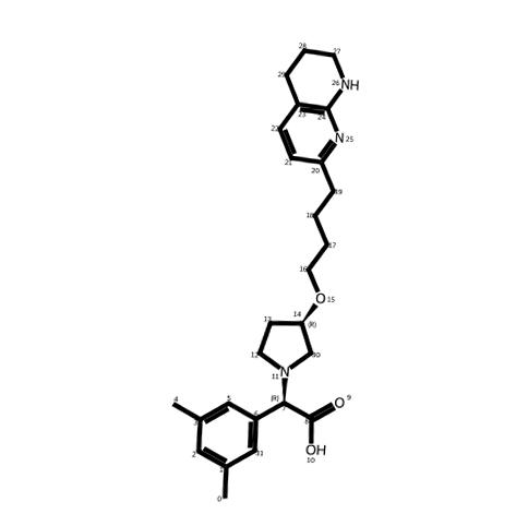 Cc1cc(C)cc([C@H](C(=O)O)N2CC[C@@H](OCCCCc3ccc4c(n3)NCCC4)C2)c1